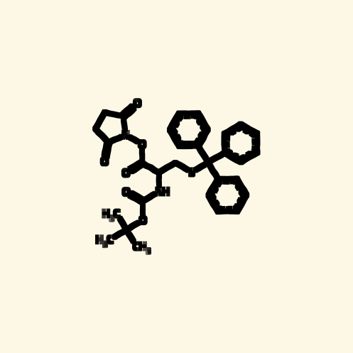 CC(C)(C)OC(=O)NC(CSC(c1ccccc1)(c1ccccc1)c1ccccc1)C(=O)ON1C(=O)CCC1=O